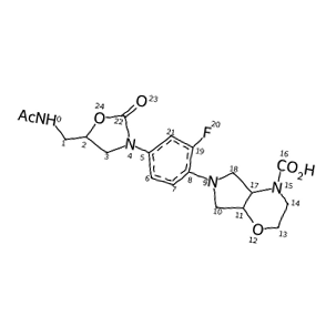 CC(=O)NCC1CN(c2ccc(N3CC4OCCN(C(=O)O)C4C3)c(F)c2)C(=O)O1